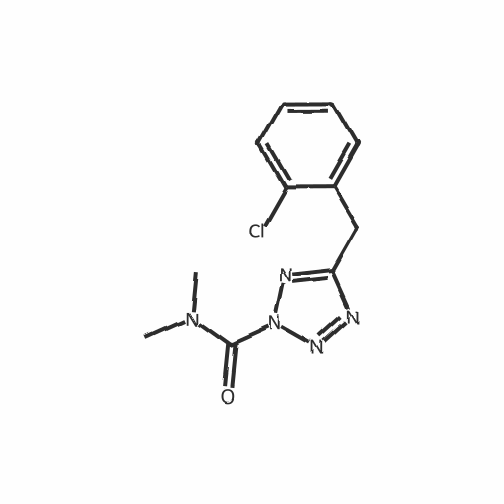 CN(C)C(=O)n1nnc(Cc2ccccc2Cl)n1